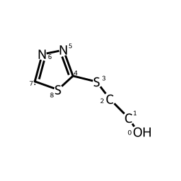 OCCSc1nn[c]s1